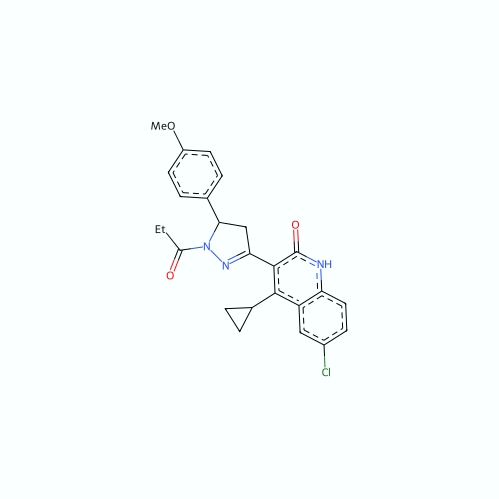 CCC(=O)N1N=C(c2c(C3CC3)c3cc(Cl)ccc3[nH]c2=O)CC1c1ccc(OC)cc1